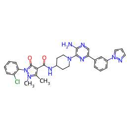 Cc1c(C(=O)NC2CCN(c3nc(-c4cccc(-n5cccn5)c4)cnc3N)CC2)c(=O)n(-c2ccccc2Cl)n1C